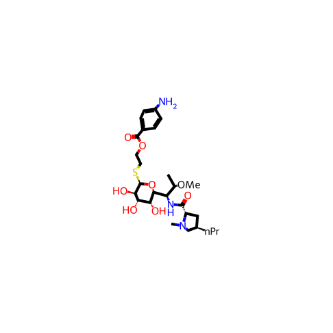 CCC[C@@H]1C[C@@H](C(=O)N[C@@H]([C@H]2O[C@H](SCCOC(=O)c3ccc(N)cc3)[C@H](O)[C@@H](O)[C@H]2O)[C@@H](C)OC)N(C)C1